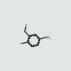 Nc1ccc(F)c(CF)c1